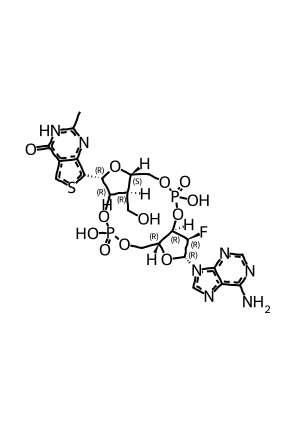 Cc1nc2c([C@@H]3O[C@@H]4COP(=O)(O)O[C@H]5[C@@H](F)[C@H](n6cnc7c(N)ncnc76)O[C@@H]5COP(=O)(O)O[C@@H]3[C@@H]4CO)scc2c(=O)[nH]1